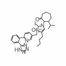 CCCCC1=CN(C2C(=O)CCCCC2C(C)C)C(I)[N+]1([O-])Cc1ccc(-c2ccccc2-c2nnn[nH]2)nc1